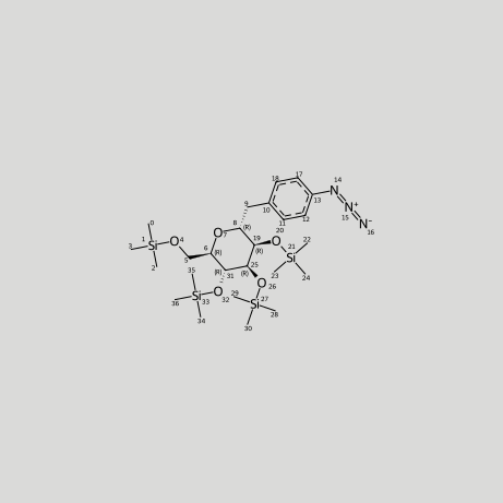 C[Si](C)(C)OC[C@H]1O[C@H](Cc2ccc(N=[N+]=[N-])cc2)[C@@H](O[Si](C)(C)C)[C@@H](O[Si](C)(C)C)[C@@H]1O[Si](C)(C)C